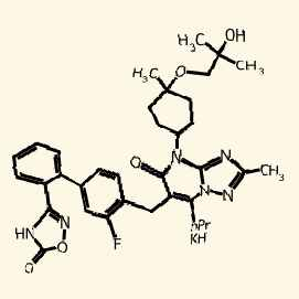 CCCc1c(Cc2ccc(-c3ccccc3-c3noc(=O)[nH]3)cc2F)c(=O)n(C2CCC(C)(OCC(C)(C)O)CC2)c2nc(C)nn12.[KH]